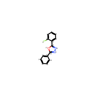 Fc1ccccc1-c1nnc(-c2ccccc2)o1